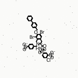 O=C(NS(=O)(=O)c1ccc(Cl)c([N+](=O)[O-])c1)[C@@H]1Cc2cc(Br)c(OCc3ccc(-c4ccccc4)cc3)c(Br)c2CN1Cc1ccc([N+](=O)[O-])cc1